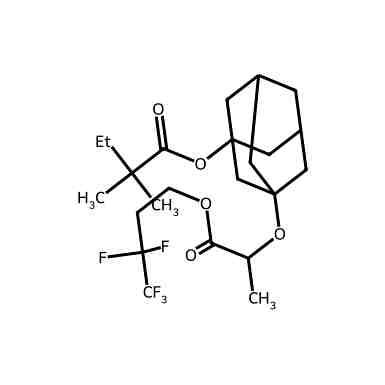 CCC(C)(C)C(=O)OC12CC3CC(C1)CC(OC(C)C(=O)OCCC(F)(F)C(F)(F)F)(C3)C2